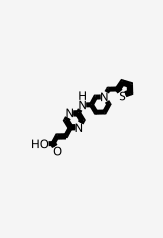 O=C(O)/C=C/c1cnc(NC2CCCN(Cc3cccs3)C2)cn1